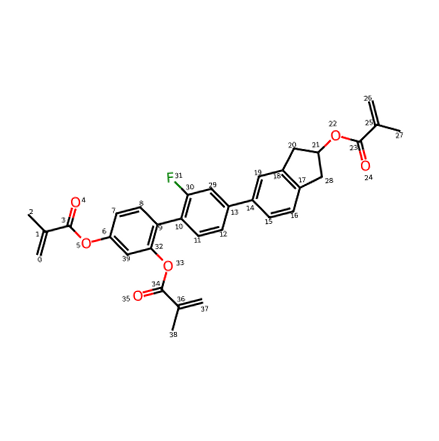 C=C(C)C(=O)Oc1ccc(-c2ccc(-c3ccc4c(c3)CC(OC(=O)C(=C)C)C4)cc2F)c(OC(=O)C(=C)C)c1